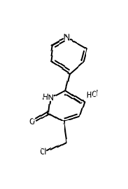 Cl.O=c1[nH]c(-c2ccncc2)ccc1CCl